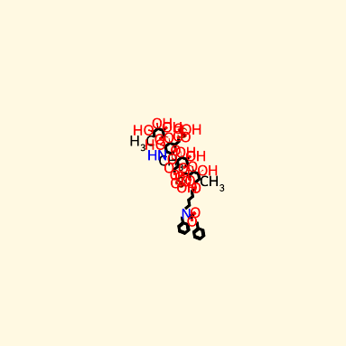 CNC1[C@@H](O[C@@H]2C(C(=O)O)O[C@@H](O[C@@H]3C(COS(=O)(=O)O)O[C@H](OCCCCCN(Cc4ccccc4)C(=O)OCc4ccccc4)C(C)[C@H]3O)C(O)[C@H]2O)OC(COS(=O)(=O)O)[C@@H](O[C@@H]2OC(C)[C@@H](O)[C@@H](O)C2O)[C@@H]1O